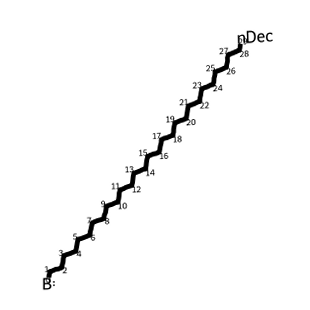 [B]CCCCCCCCCCCCCCCCCCCCCCCCCCCCCCCCCCCCCC